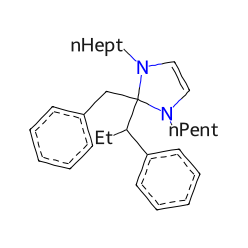 CCCCCCCN1C=CN(CCCCC)C1(Cc1ccccc1)C(CC)c1ccccc1